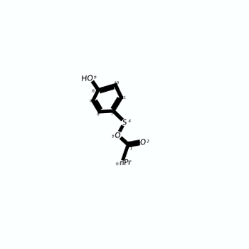 CCCC(=O)OSc1ccc(O)cc1